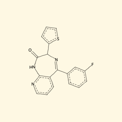 O=C1Nc2ncccc2C(c2cccc(F)c2)=NC1c1cccs1